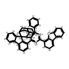 C1=c2c(oc3ccccc23)=C(c2nc(-c3ccccc3)nc(-c3cccc4c3C3(c5ccccc5-4)C4CC5CC(C4)CC3C5)n2)CC1